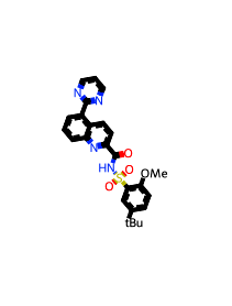 COc1ccc(C(C)(C)C)cc1S(=O)(=O)NC(=O)c1ccc2c(-c3ncccn3)cccc2n1